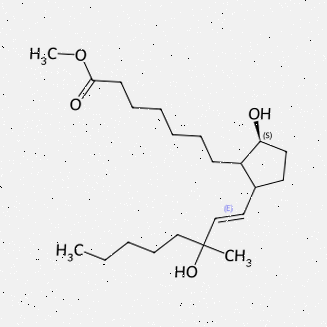 CCCCCC(C)(O)/C=C/C1CC[C@H](O)C1CCCCCCC(=O)OC